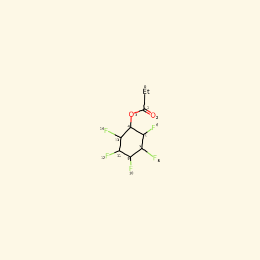 CCC(=O)OC1C(F)C(F)C(F)C(F)C1F